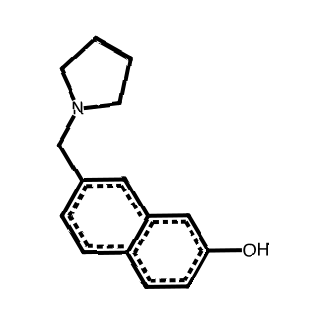 Oc1ccc2ccc(CN3CCCC3)cc2c1